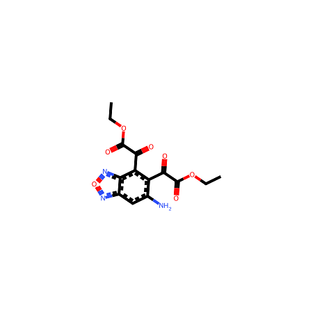 CCOC(=O)C(=O)c1c(N)cc2nonc2c1C(=O)C(=O)OCC